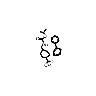 CC(C)OC(=O)NCC1CCC(C(=O)O)CC1.c1ccc(-c2ccccc2)cc1